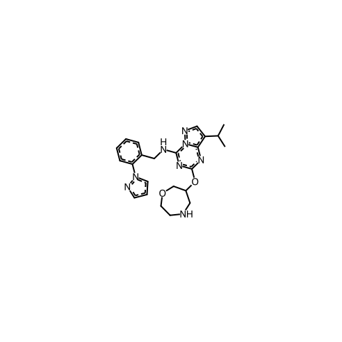 CC(C)c1cnn2c(NCc3ccccc3-n3cccn3)nc(OC3CNCCOC3)nc12